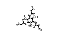 CCCC(=O)OC1C(O)C(OC(=O)CCC)C(O)C(OC(=O)CCC)C1O